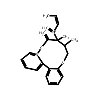 C=C1C[n+]2ccccc2-c2ccccc2CCC(C)C1(C)[N+](=C)/C=C\C